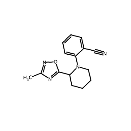 Cc1noc(C2CCCCN2c2ccccc2C#N)n1